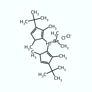 CC1=[C]([Hf+2]([C]2=C(C)C(C(C)(C)C)=CC2C)=[Ge]([CH3])[CH3])C(C)C=C1C(C)(C)C.[Cl-].[Cl-]